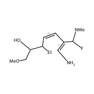 CCC(/C=C\C(=C\N)C(F)NC)C(O)COC